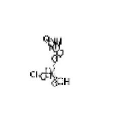 O=C(O)CN(Cc1ccc(Cl)cc1)C(=O)CCCOc1cccc2c1CN1CC(=O)NC1=N2